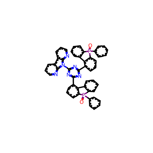 O=P1(c2ccccc2)c2ccccc2-c2c(-c3nc(-c4cccc5c4-c4ccccc4P5(=O)c4ccccc4)nc(-n4c5ncccc5c5cccnc54)n3)cccc21